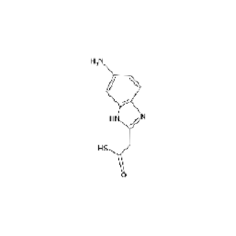 Nc1ccc2nc(CC(=O)S)[nH]c2c1